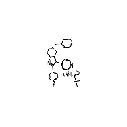 CC(C)(C)C(=O)Nc1cc(-c2c(-c3ccc(F)cc3)nn3c2CN(Cc2ccccc2)CC3)ccn1